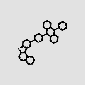 c1ccc(-c2c3ccccc3c(-c3ccc(-c4ccc5oc6ccc7ccccc7c6c5c4)nc3)c3ccccc23)cc1